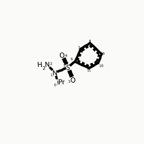 CC(C)N(N)S(=O)(=O)c1ccccc1